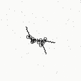 CCCCCCCCC(=O)OCC(COC)OC(=O)CNCC(=O)OC(COC(=O)CCCCCCCC)COC(=O)CCCCCCCC